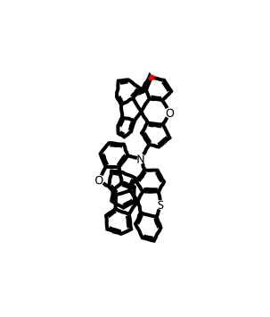 c1ccc2c(c1)Sc1ccc(N(c3ccc4c(c3)C3(c5ccccc5-c5ccccc53)c3c(ccc5ccccc35)O4)c3cccc4oc5ccccc5c34)cc1C21c2ccccc2-c2ccccc21